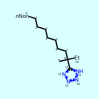 CCCCCCCCCCCCCCCCC(C)(CC)c1nnn[nH]1